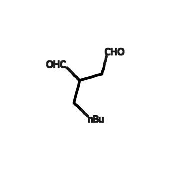 CCCCCC(C=O)CC=O